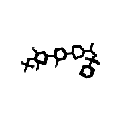 CC(OS(=O)(=O)c1ccccc1)C1CCC(c2ccc(-c3cc(F)c(OC(F)(F)F)c(F)c3)c(F)c2)CC1